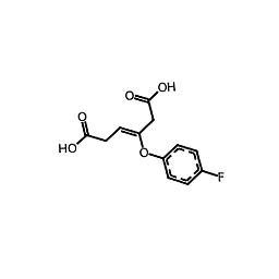 O=C(O)C/C=C(/CC(=O)O)Oc1ccc(F)cc1